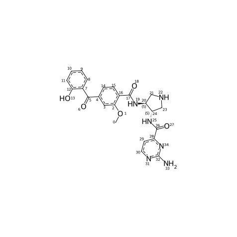 COc1cc(C(=O)c2ccccc2O)ccc1C(=O)N[C@H]1CNC[C@@H]1NC(=O)c1ccnc(N)n1